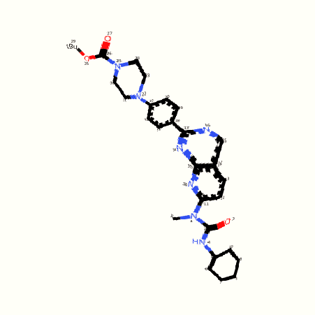 CN(C(=O)NC1CCCCC1)c1ccc2cnc(-c3ccc(N4CCN(C(=O)OC(C)(C)C)CC4)cc3)nc2n1